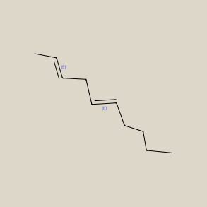 C/C=C/C/C=C/CCCC